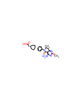 COc1nc(N)c2c(n1)CC(C)N(c1ccc([C@H]3CC[C@H](CC(=O)O)CC3)cc1)C2=O